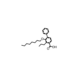 CCCCCCCCOc1c(-c2ccccc2)ccc(C(=O)O)c1CCC